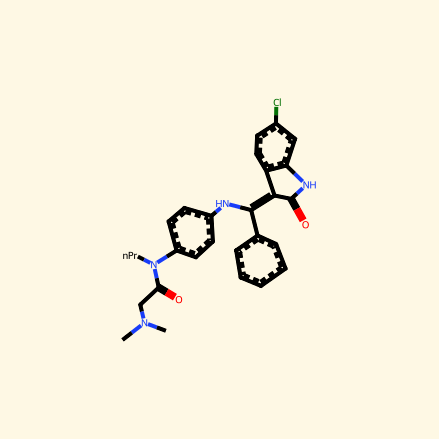 CCCN(C(=O)CN(C)C)c1ccc(NC(=C2C(=O)Nc3cc(Cl)ccc32)c2ccccc2)cc1